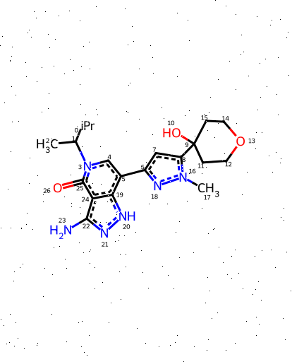 CC(C)C(C)n1cc(-c2cc(C3(O)CCOCC3)n(C)n2)c2[nH]nc(N)c2c1=O